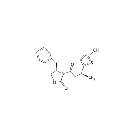 Cc1ccc([C@H](CC(=O)N2C(=O)OC[C@H]2Cc2ccccc2)C(F)(F)F)s1